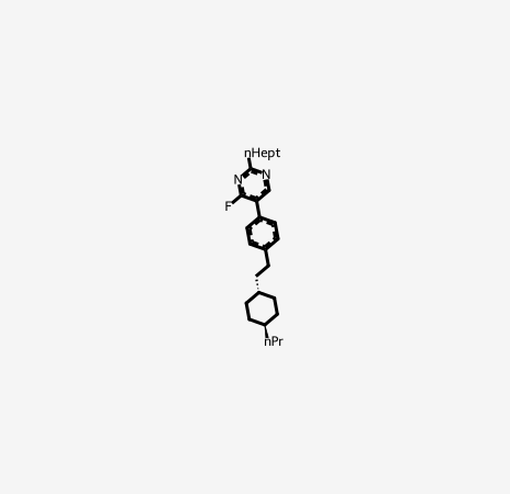 CCCCCCCc1ncc(-c2ccc(CC[C@H]3CC[C@H](CCC)CC3)cc2)c(F)n1